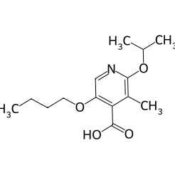 CCCCOc1cnc(OC(C)C)c(C)c1C(=O)O